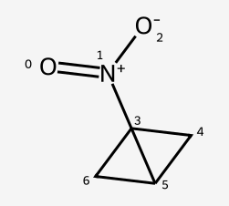 O=[N+]([O-])C12CC1C2